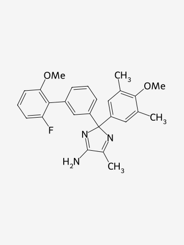 COc1cccc(F)c1-c1cccc(C2(c3cc(C)c(OC)c(C)c3)N=C(C)C(N)=N2)c1